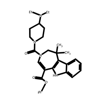 CCN(CC)C1CCN(C(=O)N2C=C(C(=O)OC(C)C)c3[nH]c4ccccc4c3C(C)(C)C2)CC1